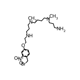 CN(CCCN)CCCCN(C)CCCNCCOc1ccc(CBr)c([N+](=O)[O-])c1